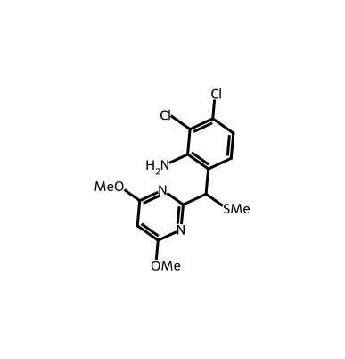 COc1cc(OC)nc(C(SC)c2ccc(Cl)c(Cl)c2N)n1